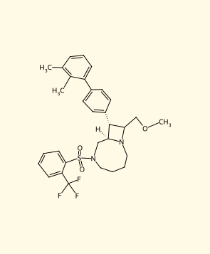 COCC1[C@@H](c2ccc(-c3cccc(C)c3C)cc2)[C@@H]2CN(S(=O)(=O)c3ccccc3C(F)(F)F)CCCCN12